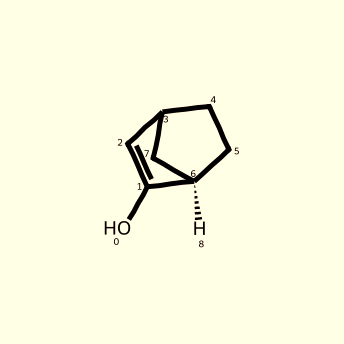 OC1=CC2CC[C@@H]1C2